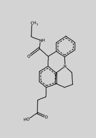 CCNC(=O)C(c1ccc(CCC(=O)O)cc1)c1ccccc1N1CCCCC1